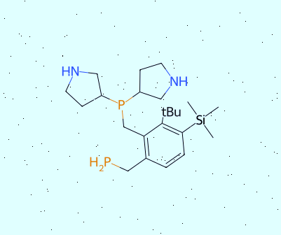 CC(C)(C)c1c([Si](C)(C)C)ccc(CP)c1CP(C1CCNC1)C1CCNC1